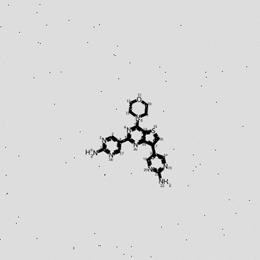 Nc1ncc(-c2nc(N3CCOCC3)c3scc(-c4cnc(N)nc4)c3n2)cn1